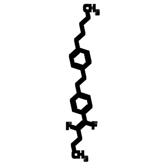 CCCCCc1ccc(CCc2ccc(C(F)=C(F)CCC)cc2)cc1